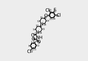 O=C(NS(=O)(=O)c1ccc(Cl)cc1)N1CCC(N2CCC(Oc3ccc(Cl)c(F)c3Cl)CC2)CC1